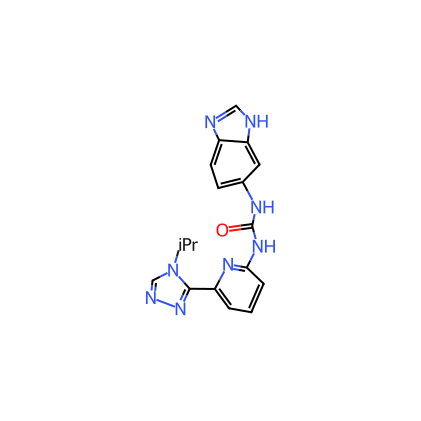 CC(C)n1cnnc1-c1cccc(NC(=O)Nc2ccc3nc[nH]c3c2)n1